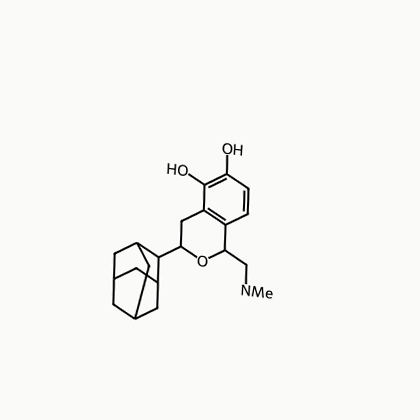 CNCC1OC(C2C3CC4CC(C3)CC2C4)Cc2c1ccc(O)c2O